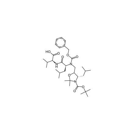 CC(C)C[C@@H](C(=O)N[C@H](C(=O)O)C(C)C)N(CC1OC(C)(C)N(C(=O)OC(C)(C)C)[C@H]1CC(C)C)C(=O)OCc1ccccc1